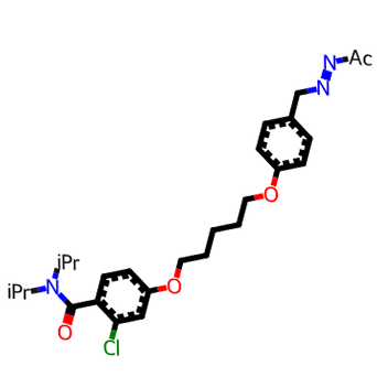 CC(=O)N=NCc1ccc(OCCCCCOc2ccc(C(=O)N(C(C)C)C(C)C)c(Cl)c2)cc1